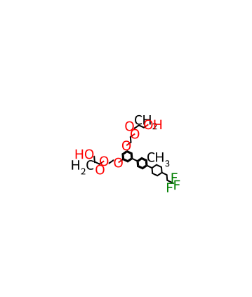 C=C(CO)C(=O)OCCOc1cc(OCCOC(=O)C(=C)CO)cc(-c2ccc(C3CCC(CCC(F)(F)F)CC3)c(C)c2)c1